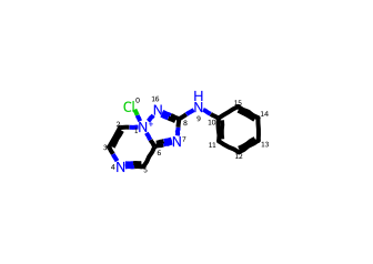 Cl[N+]12C=CN=CC1=NC(Nc1ccccc1)=N2